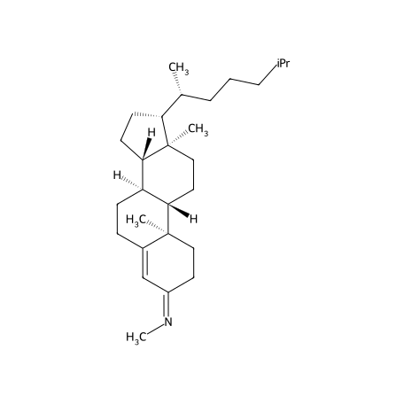 C/N=C1\C=C2CC[C@H]3[C@@H]4CC[C@H]([C@H](C)CCCC(C)C)[C@@]4(C)CC[C@@H]3[C@@]2(C)CC1